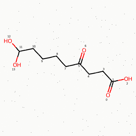 O=C(O)CCC(=O)CCCCC(O)O